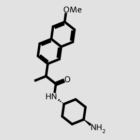 COc1ccc2cc(C(C)C(=O)N[C@H]3CC[C@H](N)CC3)ccc2c1